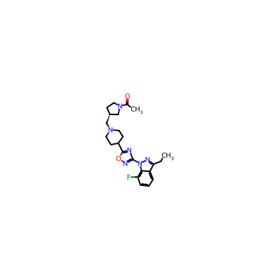 CCc1nn(-c2noc(C3CCN(C[C@H]4CCN(C(C)=O)C4)CC3)n2)c2c(F)cccc12